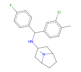 Cc1ccc(C(NC2CC3CCC(C2)N3C)c2ccc(F)cc2)cc1Cl